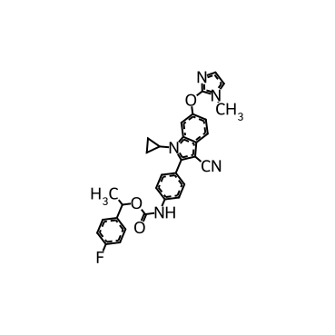 CC(OC(=O)Nc1ccc(-c2c(C#N)c3ccc(Oc4nccn4C)cc3n2C2CC2)cc1)c1ccc(F)cc1